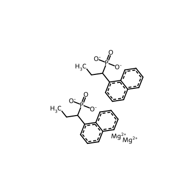 CCC(c1cccc2ccccc12)P(=O)([O-])[O-].CCC(c1cccc2ccccc12)P(=O)([O-])[O-].[Mg+2].[Mg+2]